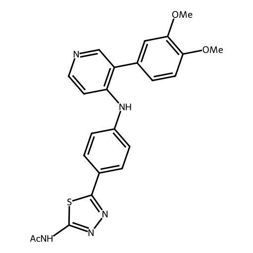 COc1ccc(-c2cnccc2Nc2ccc(-c3nnc(NC(C)=O)s3)cc2)cc1OC